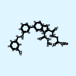 COC(=O)CNC(=O)c1nc2ccc(-c3cccc(OCc4cccc(Cl)c4)c3)cc2n1C(=O)OC(C)(C)C